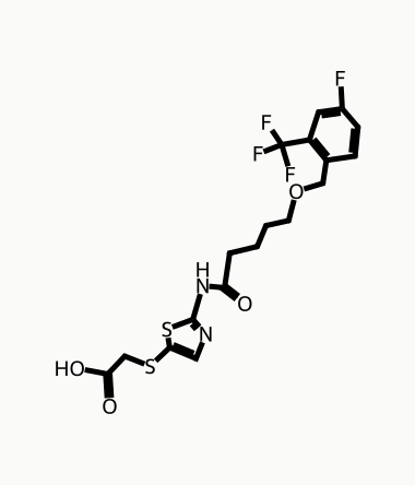 O=C(O)CSc1cnc(NC(=O)CCCCOCc2ccc(F)cc2C(F)(F)F)s1